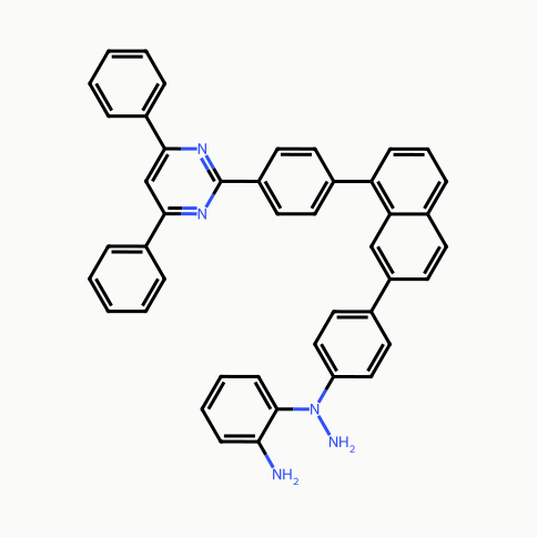 Nc1ccccc1N(N)c1ccc(-c2ccc3cccc(-c4ccc(-c5nc(-c6ccccc6)cc(-c6ccccc6)n5)cc4)c3c2)cc1